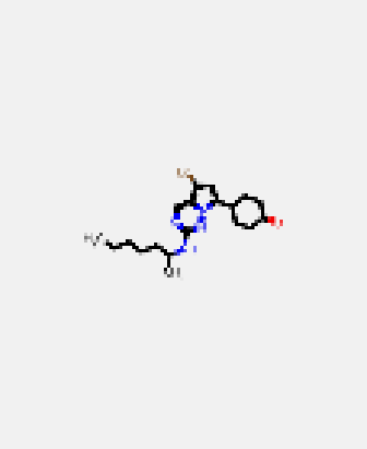 CCCCC[C@H](C)Nc1ncc2c(Br)cc(C3CCC(=O)CC3)n2n1